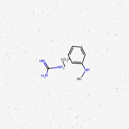 CC(=O)O.N#CNc1ccccc1.N=C(N)N